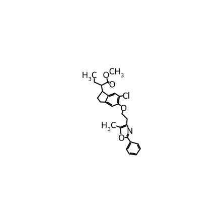 CCC(C(=O)OC)C1CCc2cc(OCCc3nc(-c4ccccc4)oc3C)c(Cl)cc21